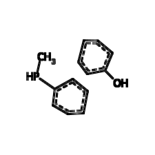 CPc1ccccc1.Oc1ccccc1